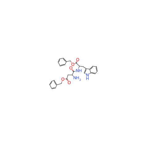 NC(CC(=O)OCc1ccccc1)C(=O)NC(Cc1c[nH]c2ccccc12)C(=O)OCc1ccccc1